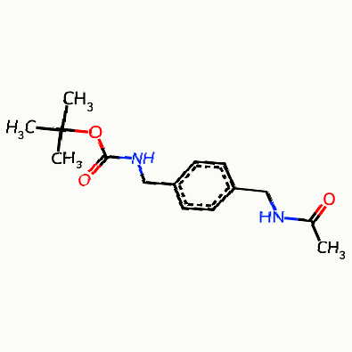 CC(=O)NCc1ccc(CNC(=O)OC(C)(C)C)cc1